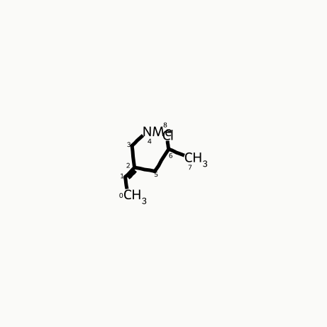 C/C=C(/CNC)CC(C)Cl